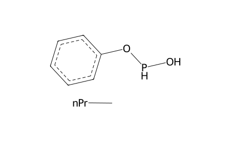 CCCC.OPOc1ccccc1